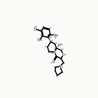 O=C1C(CN2CCCC2)OC[C@@H]2C[C@H](c3c(O)ccc(Cl)c3Cl)CCN12